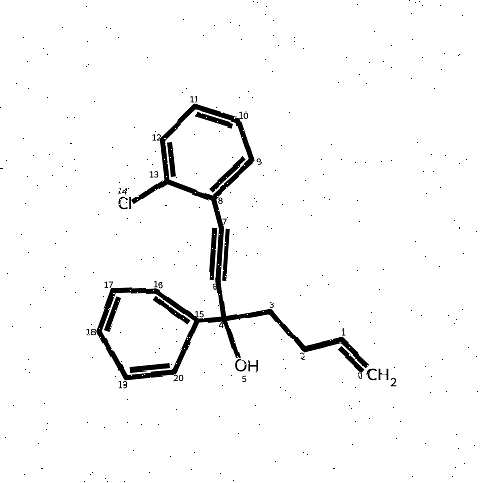 C=CCCC(O)(C#Cc1ccccc1Cl)c1ccccc1